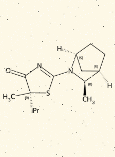 CC(C)[C@@]1(C)SC(N2[C@H]3CC[C@H](C3)[C@H]2C)=NC1=O